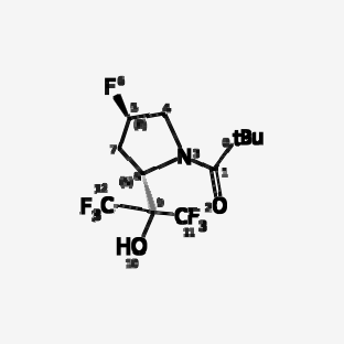 CC(C)(C)C(=O)N1C[C@H](F)C[C@H]1C(O)(C(F)(F)F)C(F)(F)F